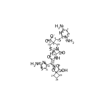 Nc1cc[n+](N)c(SCC2(C(=O)[O-])CS[C@@H]3C(NC(=O)C(=NOC4(C(=O)O)CCC4)c4csc(N)n4)C(=O)N3C2)n1